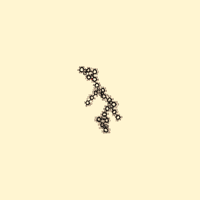 c1ccc(-c2ccc(-c3ccc(N(c4ccc(-c5ccc6c(c5)c5cccc7c5n6-c5ccccc5-c5ccc6c(oc8ccccc86)c5-7)cc4)c4cccc5c4oc4ccc(-c6ccc7c(c6)oc6c(N(c8ccc(-c9ccccc9)cc8)c8cccc(-c9ccc%10c(c9)c9cccc%11c9n%10-c9ccccc9-c9ccc%10c(oc%12ccccc%12%10)c9-%11)c8)cccc67)cc45)cc3)cc2)cc1